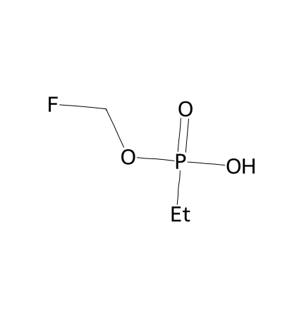 CCP(=O)(O)OCF